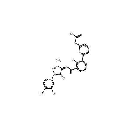 CC1=NN(c2ccc(C)c(Cl)c2)C(=O)C1=NNc1cccc(-c2cccc(OC(=O)O)c2)c1O